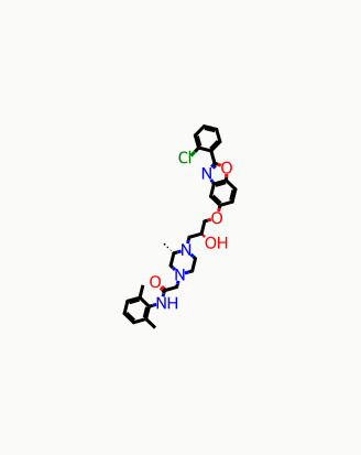 Cc1cccc(C)c1NC(=O)CN1CCN(C[C@H](O)COc2ccc3oc(-c4ccccc4Cl)nc3c2)[C@@H](C)C1